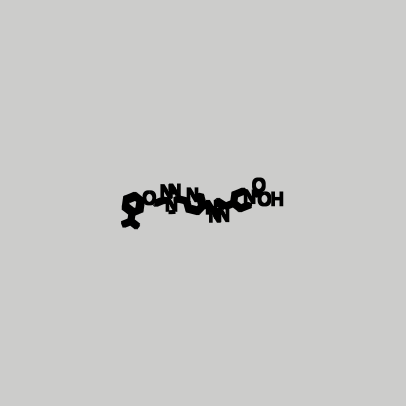 CC(C)c1cccc(OCc2nnc(-c3ccc(-n4cc(C5CCN(C(=O)O)CC5)nn4)cn3)n2C)c1